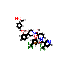 C=C(O)[C@@H]1CC[C@H](COc2ccccc2C2(O)CCN(C(=O)[C@]3(Oc4csc(C(F)(F)F)c4)CCCN(C(=O)c4cnccc4C(F)(F)F)[C@@H]3CCC)CC2)C1